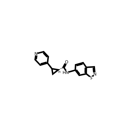 O=C(Nc1ccc2cnsc2c1)[C@@H]1CC1c1ccncc1